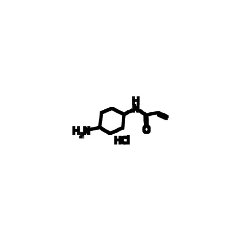 C=CC(=O)NC1CCC(N)CC1.Cl